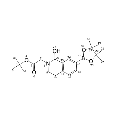 CC(C)(C)OC(=O)CN1CCc2ccc(B3OC(C)(C)C(C)(C)O3)cc2C1O